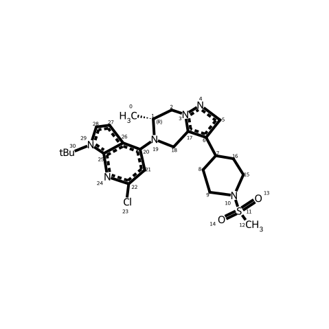 C[C@@H]1Cn2ncc(C3CCN(S(C)(=O)=O)CC3)c2CN1c1cc(Cl)nc2c1ccn2C(C)(C)C